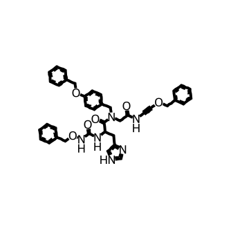 O=C(CN(Cc1ccc(OCc2ccccc2)cc1)C(=O)C(Cc1c[nH]cn1)NC(=O)NOCc1ccccc1)NC#COCc1ccccc1